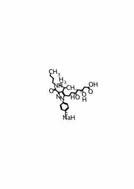 CCCCNC(=O)c1nn(-c2ccc(F)cc2)c(CC[C@@H](O)C[C@@H](O)CC(=O)O)c1C(C)C.[NaH]